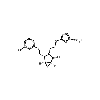 O=C(O)c1csc(SCCN2C(=O)[C@H]3C[C@H]3[C@@H]2COc2cccc(Cl)c2)n1